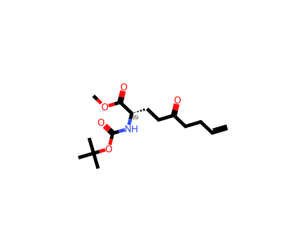 C=CCCC(=O)CC[C@H](NC(=O)OC(C)(C)C)C(=O)OC